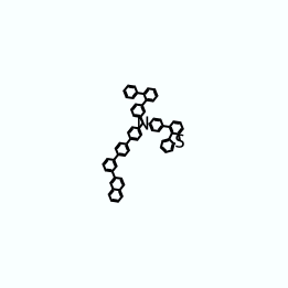 c1ccc(-c2ccccc2-c2cccc(N(c3ccc(-c4ccc(-c5cccc(-c6ccc7ccccc7c6)c5)cc4)cc3)c3ccc(-c4cccc5sc6ccccc6c45)cc3)c2)cc1